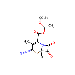 CCOC(=O)O[C@H](C)OC(=O)C1=C(C)C(=[N+]=[N-])S[C@H]2C(=O)C(=O)N12